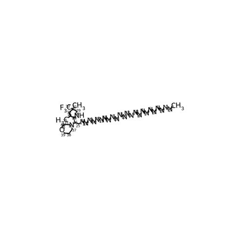 CN=NN=NN=NN=NN=NN=NN=NN=NN=NN=NN=NN=NCC([C@@H]1NCC(C)(C(F)(F)F)C=C1C)N1CCCOCC1